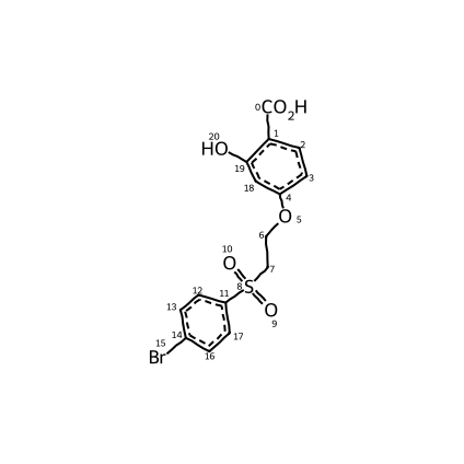 O=C(O)c1ccc(OCCS(=O)(=O)c2ccc(Br)cc2)cc1O